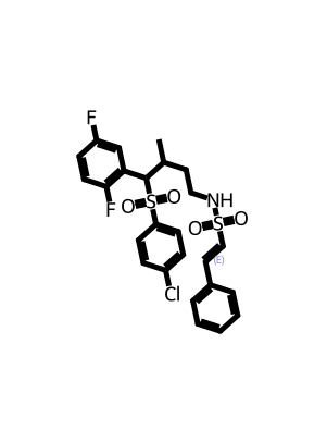 CC(CCNS(=O)(=O)/C=C/c1ccccc1)C(c1cc(F)ccc1F)S(=O)(=O)c1ccc(Cl)cc1